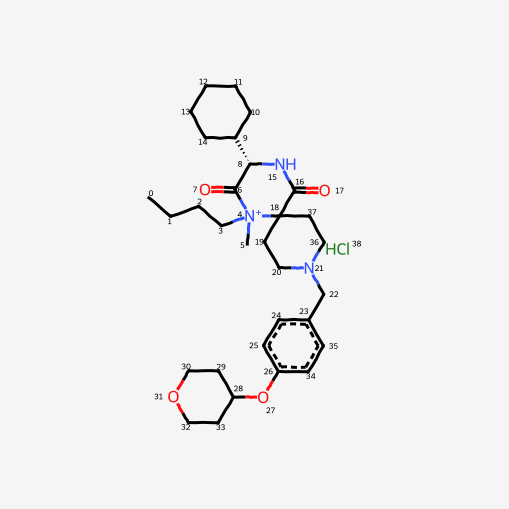 CCCC[N+]1(C)C(=O)[C@H](C2CCCCC2)NC(=O)C12CCN(Cc1ccc(OC3CCOCC3)cc1)CC2.Cl